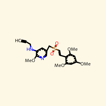 C#CCNc1cc(CS(=O)(=O)C=Cc2c(OC)cc(OC)cc2OC)cnc1OC